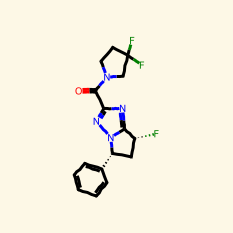 O=C(c1nc2n(n1)[C@@H](c1ccccc1)C[C@H]2F)N1CCC(F)(F)C1